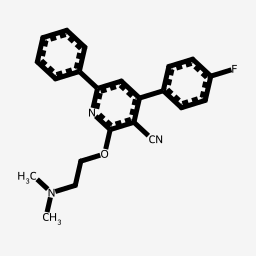 CN(C)CCOc1nc(-c2ccccc2)cc(-c2ccc(F)cc2)c1C#N